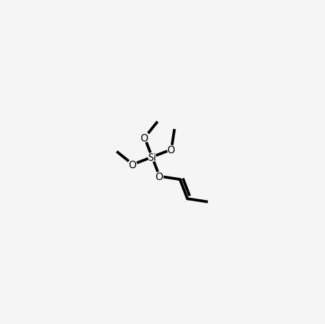 CC=CO[Si](OC)(OC)OC